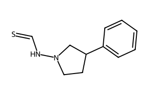 S=CNN1CCC(c2ccccc2)C1